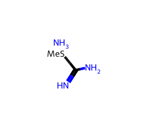 CSC(=N)N.N